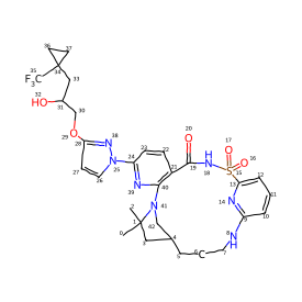 CC1(C)CC2CCCNc3cccc(n3)S(=O)(=O)NC(=O)c3ccc(-n4ccc(OCC(O)CC5(C(F)(F)F)CC5)n4)nc3N1C2